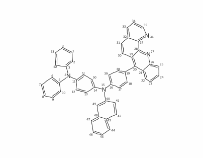 c1ccc(N(c2ccccc2)c2ccc(N(c3ccc(-c4c5ccccc5nc5c4ccc4cccnc45)cc3)c3ccc4ccccc4c3)cc2)cc1